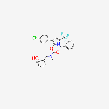 CN(CC1CCC[C@@H]1O)C(=O)Oc1c(-c2ccc(Cl)cc2)cc(C(F)(F)F)n1Cc1ccccc1